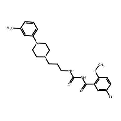 COc1ccc(Cl)cc1C(=O)NC(=O)NCCCN1CCN(c2cccc(C)c2)CC1